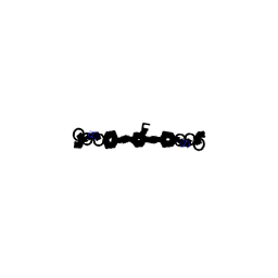 C=CC(=O)O/C=C\Oc1ccc(C#Cc2ccc(C#Cc3ccc(O/C=C\OC(=O)C=C)cc3)c(F)c2)cc1